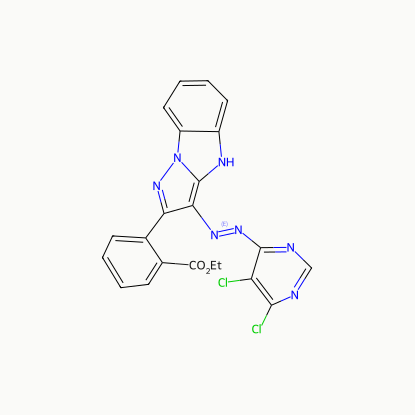 CCOC(=O)c1ccccc1-c1nn2c([nH]c3ccccc32)c1/N=N/c1ncnc(Cl)c1Cl